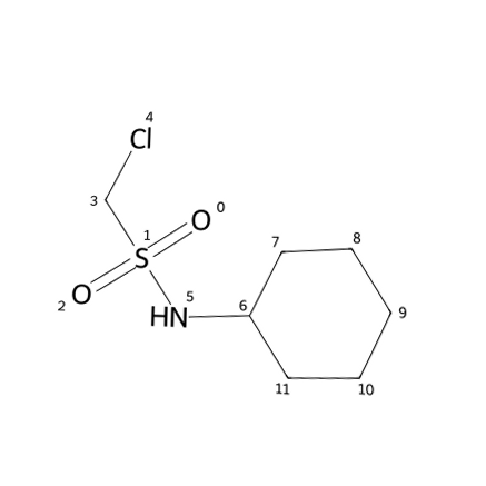 O=S(=O)(CCl)NC1CCCCC1